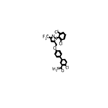 NC(=O)c1cc(-c2ccc(OCc3cc(C(F)(F)F)nn3-c3c(Cl)cccc3Cl)cc2)ccc1Cl